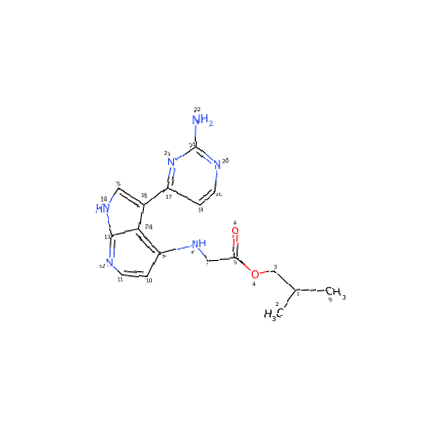 CC(C)COC(=O)CNc1ccnc2[nH]cc(-c3ccnc(N)n3)c12